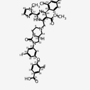 COC(=O)C1=C(CN2CCN3C(=O)N(c4cc(F)cc(Oc5ccc(C(=O)O)cc5F)c4)C[C@@H]3C2)NC(c2nccn2C)=N[C@H]1c1ccc(F)cc1Cl